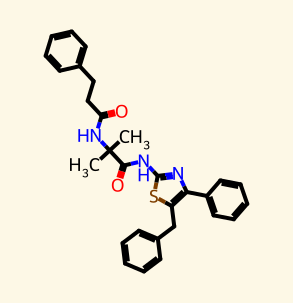 CC(C)(NC(=O)CCc1ccccc1)C(=O)Nc1nc(-c2ccccc2)c(Cc2ccccc2)s1